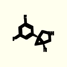 Fc1cc(F)cc([C@]23CNC[C@H]2C3)c1